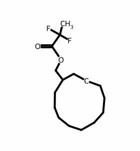 CC(F)(F)C(=O)OCC1CCCCCCCCCCC1